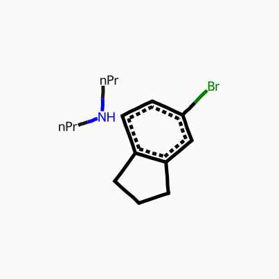 Brc1ccc2c(c1)CCC2.CCCNCCC